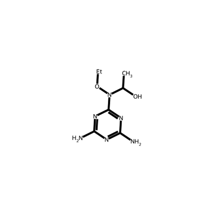 CCON(c1nc(N)nc(N)n1)C(C)O